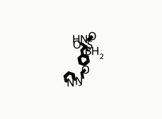 B[C@]1(Cc2ccc(OCCN(C)c3ccccn3)cc2)SC(=O)NC1=O